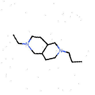 CCCN1CCC2CN(CC)CCC2C1